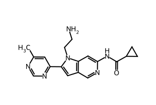 Cc1cc(-c2cc3cnc(NC(=O)C4CC4)cc3n2CCN)ncn1